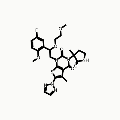 COCCOC(Cn1c(=O)n(C2(C)CCNC2=O)c(=O)c2c(C)c(-n3nccn3)sc21)c1cc(F)ccc1OC